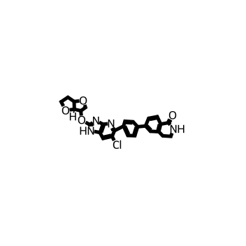 O=C1NCCc2cc(-c3ccc(-c4nc5nc(OC6COC7CCO[C@@H]76)[nH]c5cc4Cl)cc3)ccc21